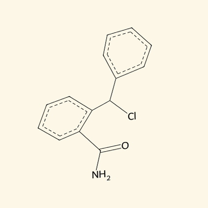 NC(=O)c1ccccc1C(Cl)c1ccccc1